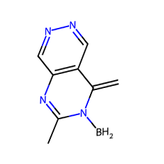 BN1C(=C)c2cnncc2N=C1C